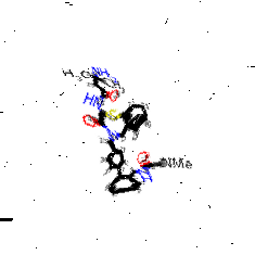 CNC(=O)NCc1ccccc1-c1ccc(CN2Cc3ccccc3S[C@@H](NC(=O)CC(C)(C)N)C2=O)cc1